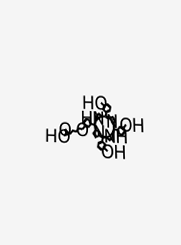 O=C(O)CCCCOc1cccc(-c2c3nc(c(-c4cccc(O)c4)c4ccc([nH]4)c(-c4cccc(O)c4)c4nc(c(-c5cccc(O)c5)c5ccc2[nH]5)C=C4)C=C3)c1